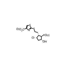 CCCCCCCC[C@@H]1[C@@H](CCSc2nc(C(=O)OCC)cs2)[C@@H](Cl)C[C@H]1O